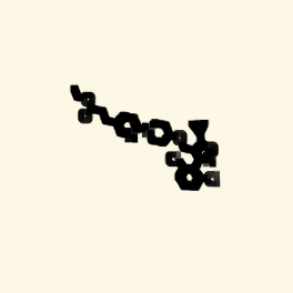 CCOC(=O)CCc1ccc(N2CCC(OCc3c(-c4c(Cl)cccc4Cl)noc3C3CC3)CC2)nc1